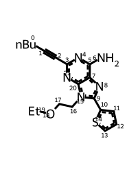 CCCCC#Cc1nc(N)c2nc(-c3cccs3)n(CCOCC)c2n1